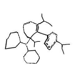 CC(C)C1=C(c2ccc(C(C)C)cc2)C(C(C)C)(P(C2CCCCC2)C2CCCCC2)CC=C1